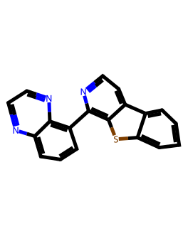 c1cc(-c2nccc3c2sc2ccccc23)c2nccnc2c1